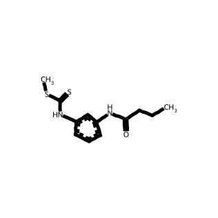 CCCC(=O)Nc1cccc(NC(=S)SC)c1